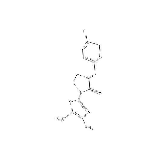 Cc1nc(N2CCN(Cc3ccc(F)cc3)C2=O)sc1C(=O)O